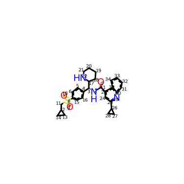 O=C(N[C@H](c1ccc(S(=O)(=O)CC2CC2)cc1)C1CCCCN1)c1cc(C2CC2)nc2ccccc12